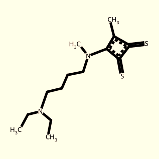 CCN(CC)CCCCN(C)c1c(C)c(=S)c1=S